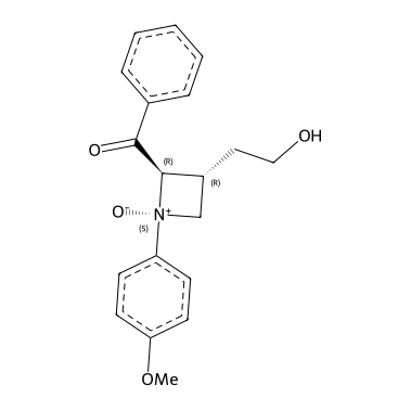 COc1ccc([N@+]2([O-])C[C@@H](CCO)[C@@H]2C(=O)c2ccccc2)cc1